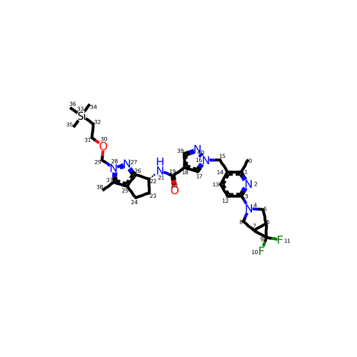 Cc1nc(N2CC3C(C2)C3(F)F)ccc1Cn1cc(C(=O)N[C@@H]2CCc3c2nn(COCC[Si](C)(C)C)c3C)cn1